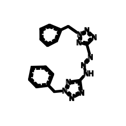 c1ccc(Cn2nnc(N=NNc3nnn(Cc4ccccc4)n3)n2)cc1